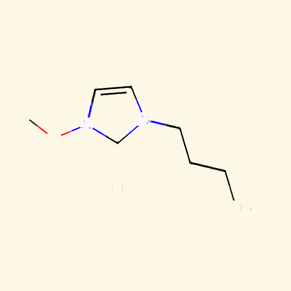 CCCCCCCCCCN1C=CN(OCC)C1.[LiH]